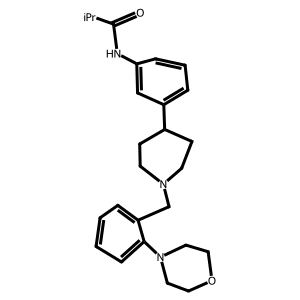 CC(C)C(=O)Nc1cccc(C2CCN(Cc3ccccc3N3CCOCC3)CC2)c1